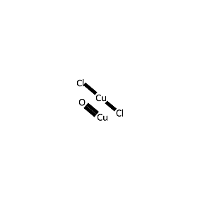 [Cl][Cu][Cl].[O]=[Cu]